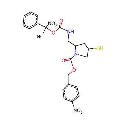 N#CC(OC(=O)NCC1CC(S)CN1C(=O)OCc1ccc([N+](=O)[O-])cc1)(c1ccccc1)[N+](=O)[O-]